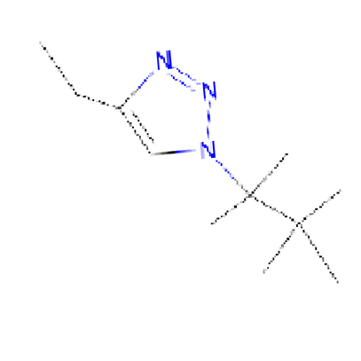 CCc1cn(C(C)(C)C(C)(C)C)nn1